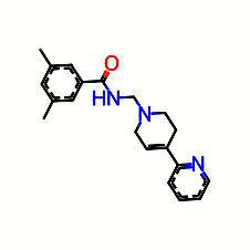 Cc1cc(C)cc(C(=O)NCN2CC=C(c3ccccn3)CC2)c1